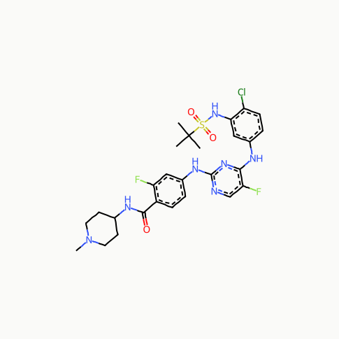 CN1CCC(NC(=O)c2ccc(Nc3ncc(F)c(Nc4ccc(Cl)c(NS(=O)(=O)C(C)(C)C)c4)n3)cc2F)CC1